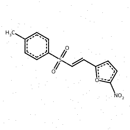 Cc1ccc(S(=O)(=O)C=Cc2ccc([N+](=O)[O-])o2)cc1